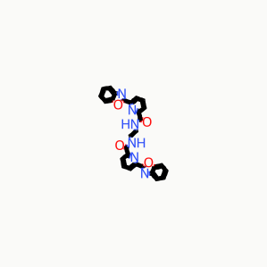 O=C(NCCNC(=O)c1cccc(-c2nc3ccccc3o2)n1)c1cccc(-c2nc3ccccc3o2)n1